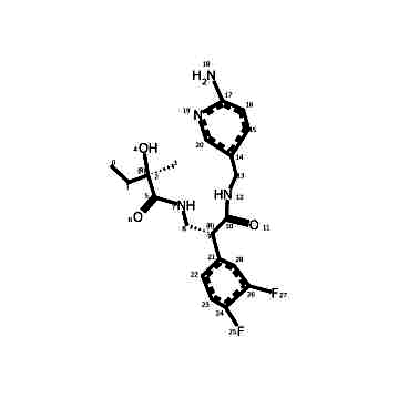 CC[C@@](C)(O)C(=O)NC[C@H](C(=O)NCc1ccc(N)nc1)c1ccc(F)c(F)c1